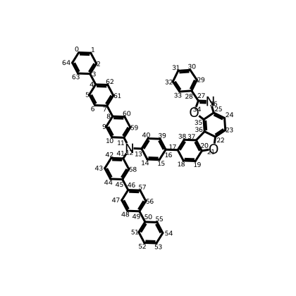 c1ccc(-c2ccc(-c3ccc(N(c4ccc(-c5ccc6oc7ccc8nc(-c9ccccc9)oc8c7c6c5)cc4)c4cccc(-c5ccc(-c6ccccc6)cc5)c4)cc3)cc2)cc1